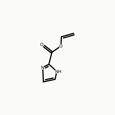 C=COC(=O)c1ncc[nH]1